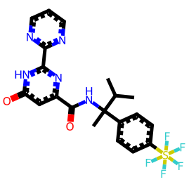 CC(C)C(C)(NC(=O)c1cc(=O)[nH]c(-c2ncccn2)n1)c1ccc(S(F)(F)(F)(F)F)cc1